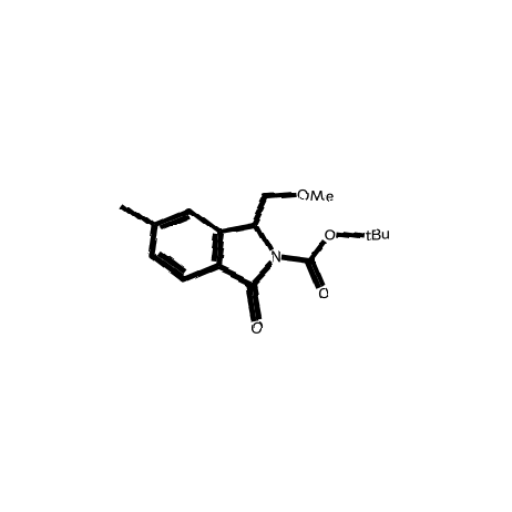 COCC1c2cc(C)ccc2C(=O)N1C(=O)OC(C)(C)C